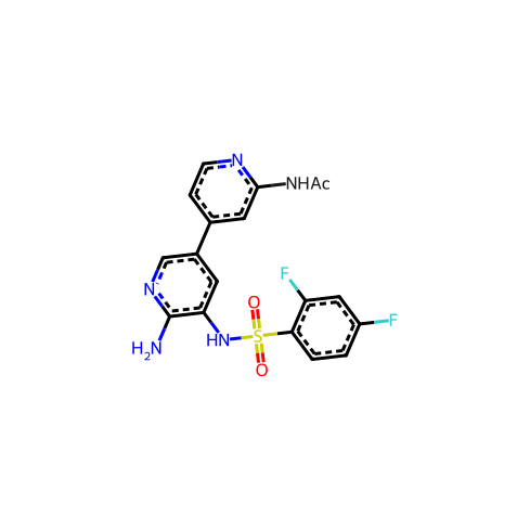 CC(=O)Nc1cc(-c2cnc(N)c(NS(=O)(=O)c3ccc(F)cc3F)c2)ccn1